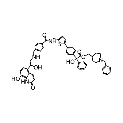 O=C(NCc1ccc(-c2ccc(C(O)(C(=O)OCC3CCN(Cc4ccccc4)CC3)c3ccccc3)cc2)s1)c1ccc(CNCC(O)c2ccc(O)c3[nH]c(=O)ccc23)cc1